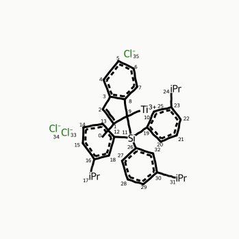 CC1=Cc2ccccc2[C]1([Ti+3])[Si](c1cccc(C(C)C)c1)(c1cccc(C(C)C)c1)c1cccc(C(C)C)c1.[Cl-].[Cl-].[Cl-]